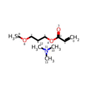 C=CC(=O)OCCCO[SiH3].CN(C)C